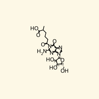 CC(CCCC(=O)n1c(N)nc2c(ncn2[C@@H]2O[C@H](CO)[C@@H](O)[C@H]2O)c1=O)C(=O)O